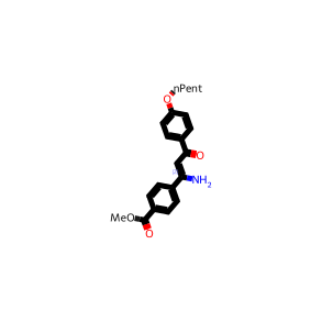 CCCCCOc1ccc(C(=O)/C=C(\N)c2ccc(C(=O)OC)cc2)cc1